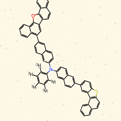 [2H]c1c([2H])c([2H])c(N(c2ccc3cc(-c4ccc5sc6ccc7ccccc7c6c5c4)ccc3c2)c2ccc3cc(-c4cc5c6ccc7ccccc7c6oc5c5ccccc45)ccc3c2)c([2H])c1[2H]